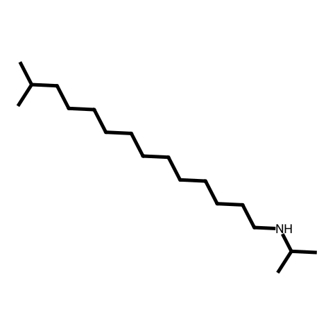 CC(C)CCCCCCCCCCCCNC(C)C